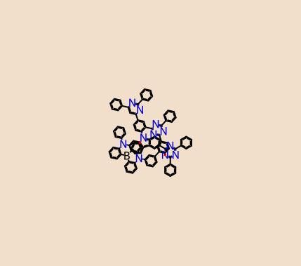 c1ccc(-c2cc(-c3ccc(-n4c5ccccc5c5cc(-c6nc(-c7ccccc7)nc(-c7ccccc7)n6)ccc54)c(-c4nc(-c5ccccc5)nc(-c5cccc(-c6cccc(N7c8ccccc8B8c9ccccc9N(c9ccccc9)c9cccc7c98)c6)c5)n4)c3)nc(-c3ccccc3)n2)cc1